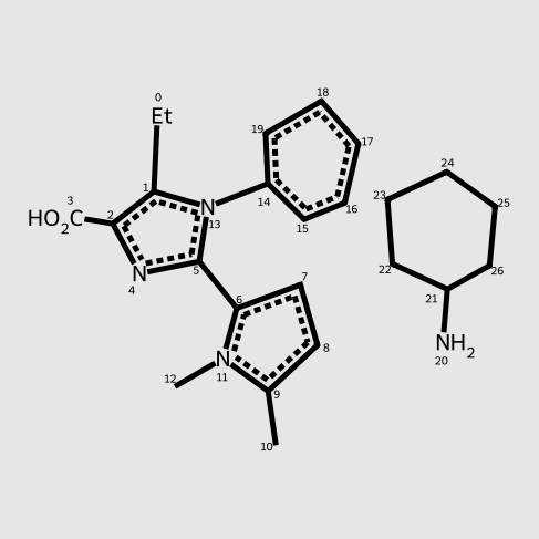 CCc1c(C(=O)O)nc(-c2ccc(C)n2C)n1-c1ccccc1.NC1CCCCC1